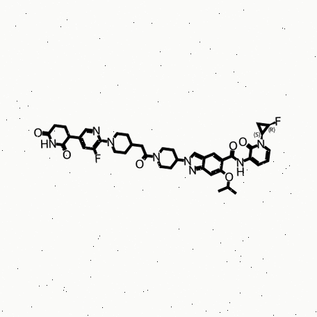 CC(C)Oc1cc2nn(C3CCN(C(=O)CC4CCN(c5ncc(C6CCC(=O)NC6=O)cc5F)CC4)CC3)cc2cc1C(=O)Nc1cccn([C@H]2C[C@H]2F)c1=O